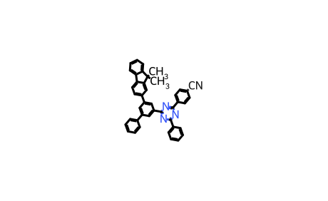 CC1(C)c2ccccc2-c2ccc(-c3cc(-c4ccccc4)cc(-c4nc(-c5ccccc5)nc(-c5ccc(C#N)cc5)n4)c3)cc21